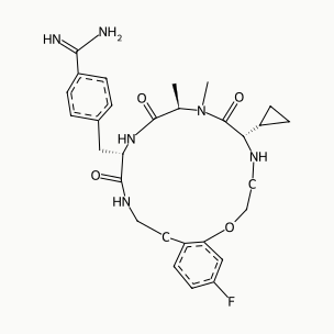 C[C@@H]1C(=O)N[C@@H](Cc2ccc(C(=N)N)cc2)C(=O)NCCc2ccc(F)cc2OCCN[C@@H](C2CC2)C(=O)N1C